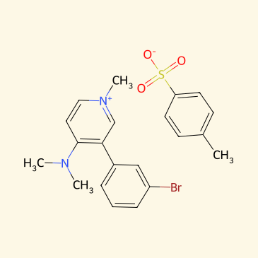 CN(C)c1cc[n+](C)cc1-c1cccc(Br)c1.Cc1ccc(S(=O)(=O)[O-])cc1